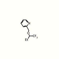 CCC(OCc1ccccn1)C(F)(F)F